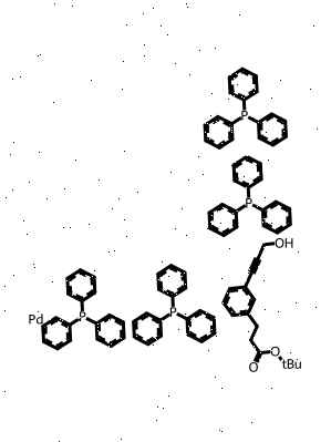 CC(C)(C)OC(=O)CCc1cccc(C#CCO)c1.[Pd].c1ccc(P(c2ccccc2)c2ccccc2)cc1.c1ccc(P(c2ccccc2)c2ccccc2)cc1.c1ccc(P(c2ccccc2)c2ccccc2)cc1.c1ccc(P(c2ccccc2)c2ccccc2)cc1